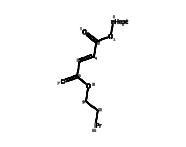 CCCCCCCOC(=O)C=CC(=O)OCCC(C)C